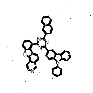 c1ccc(-n2c3ccccc3c3cc(-c4nc(-c5ccc6ccccc6c5)nc(-c5cccc6oc7c8ccncc8ccc7c56)n4)ccc32)cc1